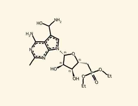 CCOP(=O)(C[C@H]1O[C@@H](n2cc(C(N)O)c3c(N)nc(C)nc32)[C@H](O)[C@@H]1O)OCC